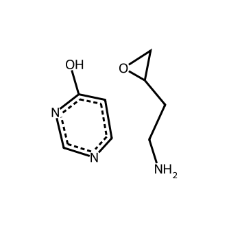 NCCC1CO1.Oc1ccncn1